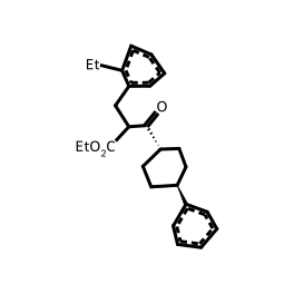 CCOC(=O)C(Cc1ccccc1CC)C(=O)[C@H]1CC[C@H](c2ccccc2)CC1